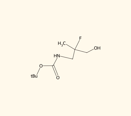 CC(F)(CO)CNC(=O)OC(C)(C)C